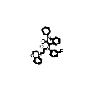 O=C1C(N(C(=O)CN2CCOc3ccccc32)c2cccc(F)c2)c2ccccc2N1C1CCCCC1